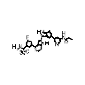 CCC(=O)Nc1cncc(-c2ccc3[nH]nc(-c4cc5c(-c6cc(F)cc(C(N)S(C)(=O)=O)c6)nccc5[nH]4)c3c2)c1